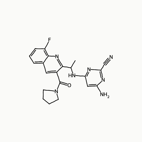 CC(Nc1cc(N)nc(C#N)n1)c1nc2c(F)cccc2cc1C(=O)N1CCCC1